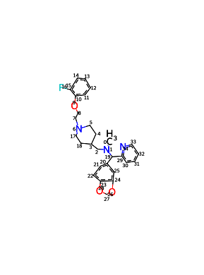 CN(CC1CCN(CCOc2ccccc2F)CC1)C(c1ccc2c(c1)OCO2)c1ccccn1